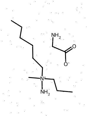 CCCCCC[N+](C)(N)CCC.NCC(=O)[O-]